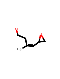 CC(=CC1CO1)CCO